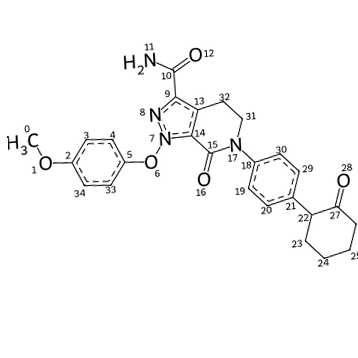 COc1ccc(On2nc(C(N)=O)c3c2C(=O)N(c2ccc(C4CCCCC4=O)cc2)CC3)cc1